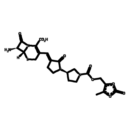 Cc1oc(=O)oc1COC(=O)N1CC[C@@H](N2CC/C(=C\C3=C(C(=O)O)N4C(=O)[C@@H](N)[C@H]4SC3)C2=O)C1